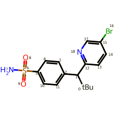 CC(C)(C)C(c1ccc(S(N)(=O)=O)cc1)c1ccc(Br)cn1